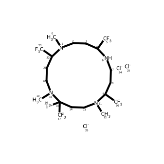 CN1CCC(C(F)(F)F)NCCC(C(F)(F)F)N(C)CC[C]([Ti+3])(C(F)(F)F)N(C)CCC1C(F)(F)F.[Cl-].[Cl-].[Cl-]